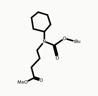 COC(=O)CCCN(C(=O)OC(C)(C)C)C1CCCCC1